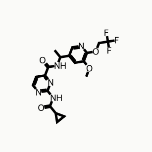 COc1cc(C(C)NC(=O)c2ccnc(NC(=O)C3CC3)n2)cnc1OCC(F)(F)F